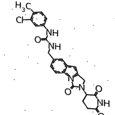 Cc1ccc(NC(=O)NCc2ccc3c(c2)cc2n3C(=O)N(C3CCC(=O)NC3=O)C2)cc1Cl